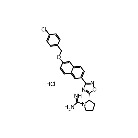 Cl.N=C(N)N1CCC[C@H]1c1nc(-c2ccc3cc(OCc4ccc(Cl)cc4)ccc3c2)no1